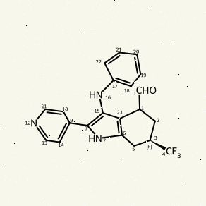 O=CC1C[C@@H](C(F)(F)F)Cc2[nH]c(-c3ccncc3)c(Nc3ccccc3)c21